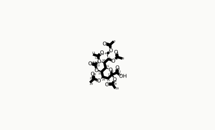 CC(=O)OC[C@H](OC(C)=O)[C@@H](OC(C)=O)[C@@H]1O[C@](OC(C)=O)(C(=O)O)C[C@H](OC(C)=O)[C@H]1OC(C)=O